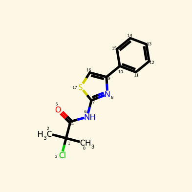 CC(C)(Cl)C(=O)Nc1nc(-c2ccccc2)cs1